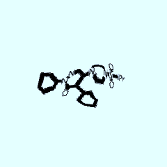 CC(C)S(=O)(=O)N1CCN(c2cnn(-c3ccccc3)c(=O)c2C2CCCCC2)CC1